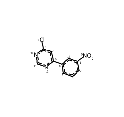 O=[N+]([O-])c1cccc(-c2cc(Cl)ncn2)c1